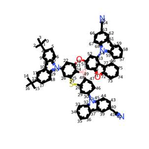 CC(C)(C)c1ccc2c(c1)c1cc(C(C)(C)C)ccc1n2-c1cc2c3c(c1)Sc1cc(-n4c5ccccc5c5cc(C#N)ccc54)ccc1B3c1c(cc(-n3c4ccccc4c4cc(C#N)ccc43)c3c1oc1ccccc13)O2